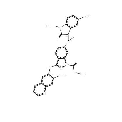 COc1ccc2c(c1)[C@]1(C[C@H]1c1ccc3c(Nc4cc5cccnc5cc4OC)nn(C(=O)OC(C)(C)C)c3c1)C(=O)N2C(=O)O